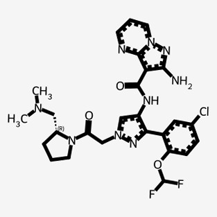 CN(C)C[C@H]1CCCN1C(=O)Cn1cc(NC(=O)c2c(N)nn3cccnc23)c(-c2cc(Cl)ccc2OC(F)F)n1